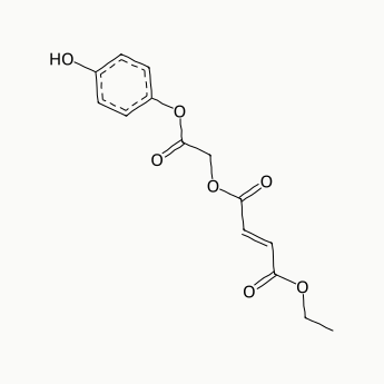 CCOC(=O)C=CC(=O)OCC(=O)Oc1ccc(O)cc1